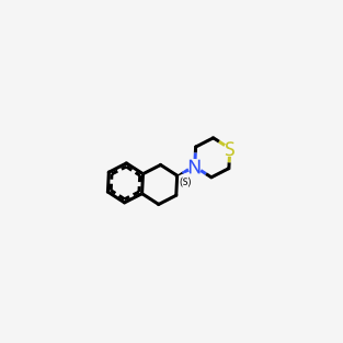 c1ccc2c(c1)CC[C@H](N1CCSCC1)C2